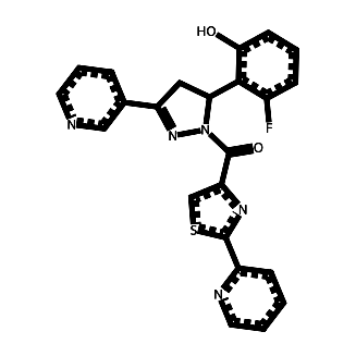 O=C(c1csc(-c2ccccn2)n1)N1N=C(c2cccnc2)CC1c1c(O)cccc1F